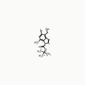 Cc1cc(Br)c(CO)c2ccn(C(=O)OC(C)(C)C)c12